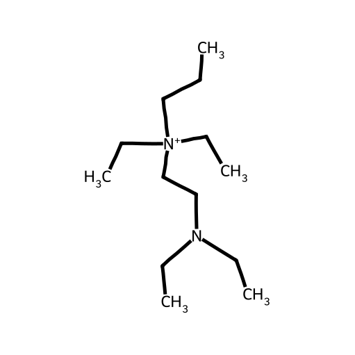 CCC[N+](CC)(CC)CCN(CC)CC